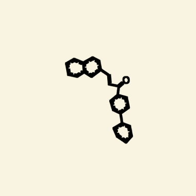 O=C(C=Cc1ccc2ccccc2c1)c1ccc(-c2ccccc2)cc1